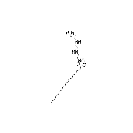 CCCCCCCCCCCCCCCCCC(=O)ONCCNCCNCCN